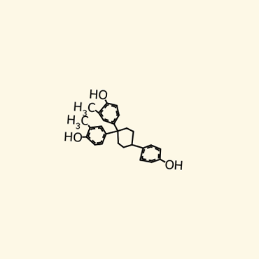 Cc1cc(C2(c3ccc(O)c(C)c3)CCC(c3ccc(O)cc3)CC2)ccc1O